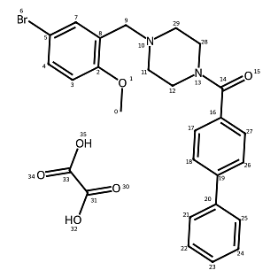 COc1ccc(Br)cc1CN1CCN(C(=O)c2ccc(-c3ccccc3)cc2)CC1.O=C(O)C(=O)O